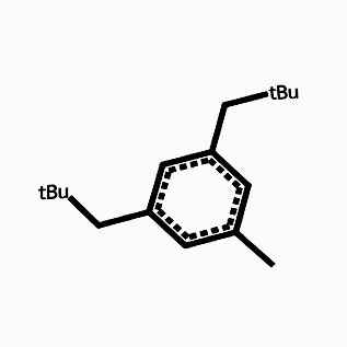 Cc1cc(CC(C)(C)C)cc(CC(C)(C)C)c1